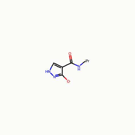 CC(C)NC(=O)c1c[nH]nc1[O]